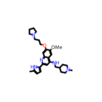 COc1cc2c(NCC3CCN(C)CC3)cc(-c3ccc(C)[nH]3)nc2cc1OCCCN1CCCC1